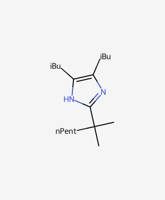 CCCCCC(C)(C)c1nc(C(C)CC)c(C(C)CC)[nH]1